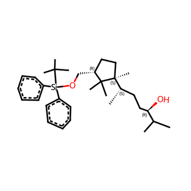 CC(C)[C@H](O)CC[C@H](C)[C@]1(C)CC[C@@H](CO[Si](c2ccccc2)(c2ccccc2)C(C)(C)C)C1(C)C